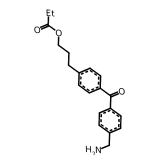 CCC(=O)OCCCc1ccc(C(=O)c2ccc(CN)cc2)cc1